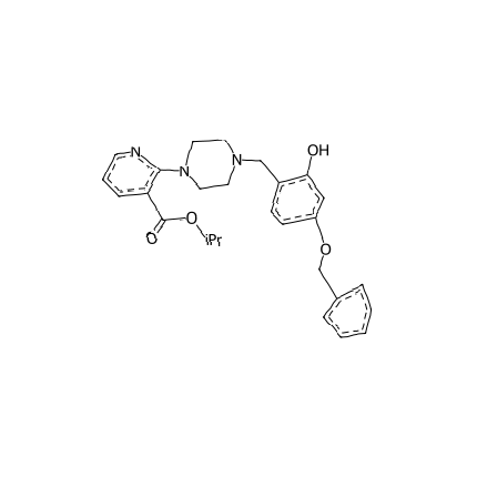 CC(C)OC(=O)c1cccnc1N1CCN(Cc2ccc(OCc3ccccc3)cc2O)CC1